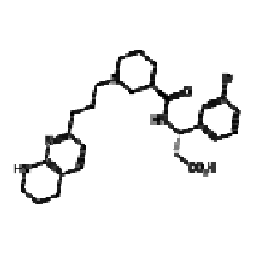 O=C(O)C[C@H](NC(=O)[C@@H]1CCCN(CCCc2ccc3c(n2)NCCC3)C1)c1cccc(Br)c1